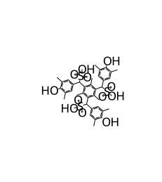 Cc1cc(C(c2c(C)c(C(c3cc(C)c(O)c(C)c3)S(=O)(=O)O)c(C)c(C(c3cc(C)c(O)c(C)c3)S(=O)(=O)O)c2C)S(=O)(=O)O)cc(C)c1O